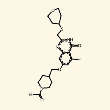 CCC(=O)N1CCC(COc2cc(F)c3c(=O)[nH]c(CSC4CCOCC4)nc3c2)CC1